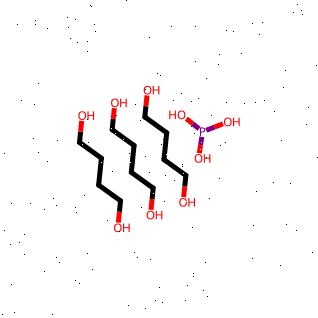 OCCCCO.OCCCCO.OCCCCO.OP(O)O